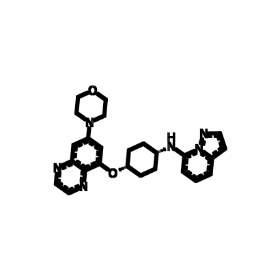 c1cc(N[C@H]2CC[C@@H](Oc3cc(N4CCOCC4)cc4nccnc34)CC2)n2nccc2c1